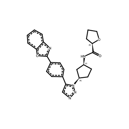 O=C(N[C@H]1CC[C@@H](n2nncc2-c2ccc(-c3nc4ccccc4o3)cc2)C1)[C@H]1CCCO1